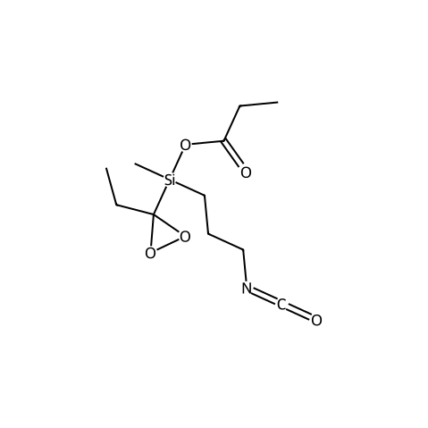 CCC(=O)O[Si](C)(CCCN=C=O)C1(CC)OO1